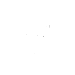 N/C=C(/C(=O)O)N(N)CC1CC1